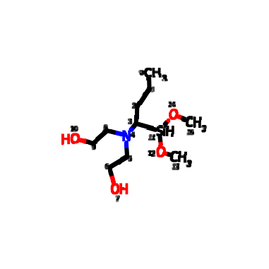 CCCC(N(CCO)CCO)[SiH](OC)OC